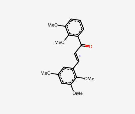 COc1cc(/C=C/C(=O)c2cccc(OC)c2OC)c(OC)c(OC)c1